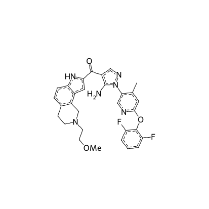 COCCN1CCc2ccc3[nH]c(C(=O)c4cnn(-c5cnc(Oc6c(F)cccc6F)cc5C)c4N)cc3c2C1